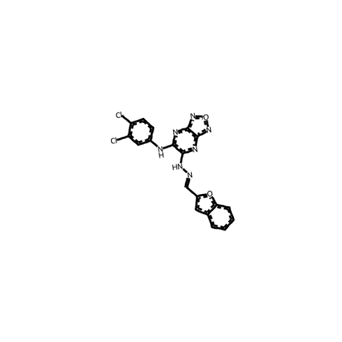 Clc1ccc(Nc2nc3nonc3nc2N/N=C/c2cc3ccccc3o2)cc1Cl